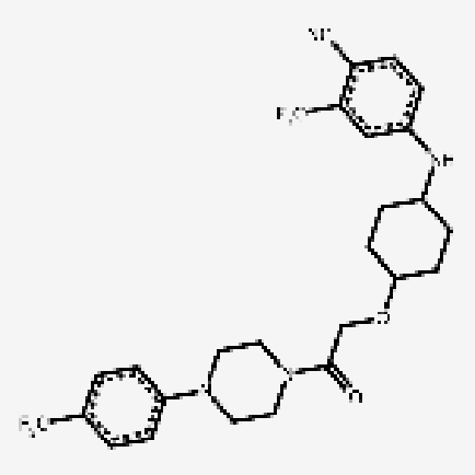 N#Cc1ccc(NC2CCC(OCC(=O)N3CCN(c4ccc(C(F)(F)F)cc4)CC3)CC2)cc1C(F)(F)F